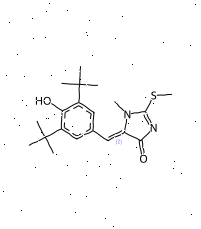 CSC1=NC(=O)/C(=C/c2cc(C(C)(C)C)c(O)c(C(C)(C)C)c2)N1C